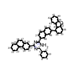 N/C(=N\C(=N/Cc1ccccc1)c1ccc2c(ccc3ccccc32)c1)c1ccc2ccc(-c3cccc4oc5ccccc5c34)cc2c1